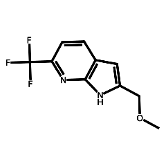 COCc1cc2ccc(C(F)(F)F)nc2[nH]1